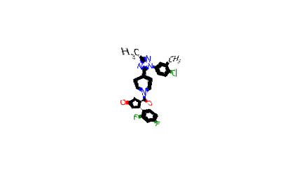 Cc1nc(C2CCN(C(=O)[C@@H]3CC(=O)C[C@H]3c3ccc(F)cc3F)CC2)n(-c2ccc(Cl)c(C)c2)n1